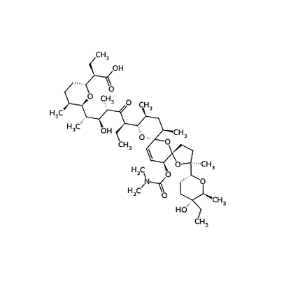 CC[C@@H](C(=O)[C@@H](C)[C@@H](O)[C@H](C)[C@@H]1O[C@@H]([C@@H](CC)C(=O)O)CC[C@@H]1C)[C@H]1O[C@]2(C=C[C@H](OC(=O)N(C)C)[C@]3(CC[C@@](C)([C@H]4CC[C@](O)(CC)[C@H](C)O4)O3)O2)[C@H](C)C[C@@H]1C